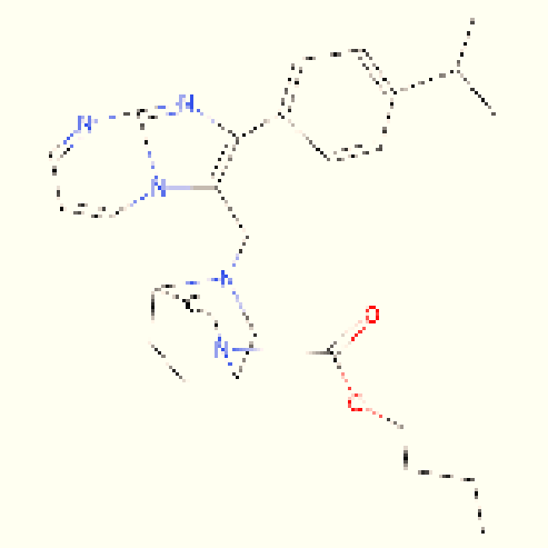 CCCCOC(=O)N1CCC2CCC1CN2Cc1c(-c2ccc(C(C)C)cc2)nc2ncccn12